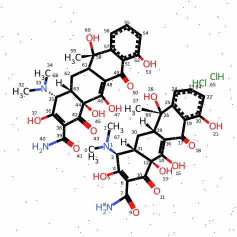 CN(C)[C@@H]1C(O)=C(C(N)=O)C(=O)[C@@]2(O)C(O)=C3C(=O)c4c(O)cccc4[C@@](C)(O)[C@H]3C[C@@H]12.CN(C)[C@H]1C(O)=C(C(N)=O)C(=O)[C@@]2(O)C(O)=C3C(=O)c4c(O)cccc4[C@@](C)(O)C3C[C@@H]12.Cl.Cl